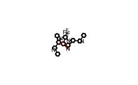 N#Cc1cccc(-c2c(-n3c4ccccc4c4cc(-c5ccnc(-c6ccccc6)c5)ccc43)cc(C(F)(F)F)cc2-n2c3ccccc3c3cc(-c4ccnc(-c5ccccc5)c4)ccc32)c1